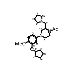 COc1ccc(N2CCN(C(C)=O)C(CN3CCCC3)C2)cc1OC1CCCC1